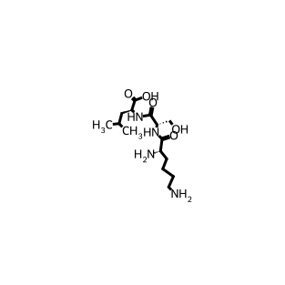 CC(C)C[C@H](NC(=O)[C@H](CO)NC(=O)[C@@H](N)CCCCN)C(=O)O